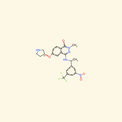 CC(Nc1nn(C)c(=O)c2ccc(O[C@H]3CCNC3)cc12)c1cc([N+](=O)[O-])cc(C(F)(F)F)c1